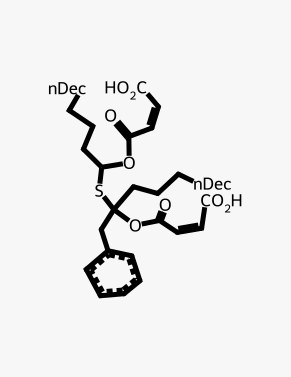 CCCCCCCCCCCCCC(OC(=O)/C=C\C(=O)O)SC(CCCCCCCCCCCCC)(Cc1ccccc1)OC(=O)/C=C\C(=O)O